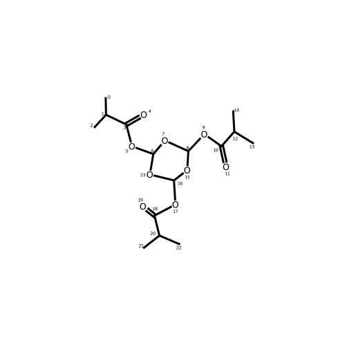 CC(C)C(=O)OC1OC(OC(=O)C(C)C)OC(OC(=O)C(C)C)O1